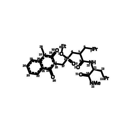 CCOP(=O)(CC(CC(C)C)C(=O)N[C@@H](CC(C)C)C(=O)NC)Cn1c(=O)c2ccccc2n(C)c1=O